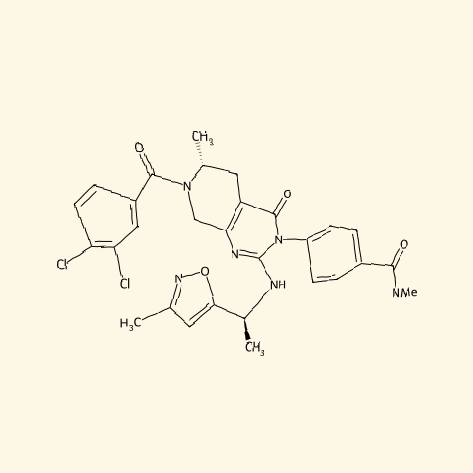 CNC(=O)c1ccc(-n2c(N[C@@H](C)c3cc(C)no3)nc3c(c2=O)C[C@@H](C)N(C(=O)c2ccc(Cl)c(Cl)c2)C3)cc1